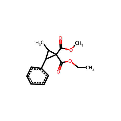 CCOC(=O)C1(C(=O)OC)C(C)C1c1ccccc1